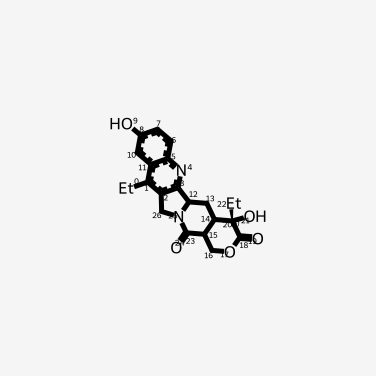 CCc1c2c(nc3ccc(O)cc13)C1CC3C(COC(=O)[C@]3(O)CC)C(=O)N1C2